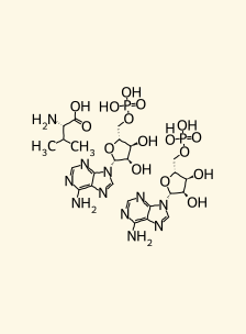 CC(C)[C@H](N)C(=O)O.Nc1ncnc2c1ncn2[C@@H]1O[C@H](COP(=O)(O)O)[C@@H](O)[C@H]1O.Nc1ncnc2c1ncn2[C@@H]1O[C@H](COP(=O)(O)O)[C@@H](O)[C@H]1O